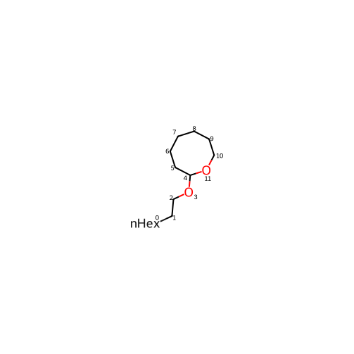 CCCCCCCCOC1CCCCCCO1